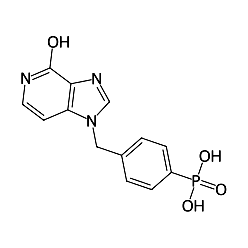 O=P(O)(O)c1ccc(Cn2cnc3c(O)nccc32)cc1